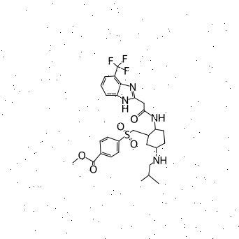 COC(=O)c1ccc(S(=O)(=O)CC2CC(NCC(C)C)CCC2NC(=O)Cc2nc3c(C(F)(F)F)cccc3[nH]2)cc1